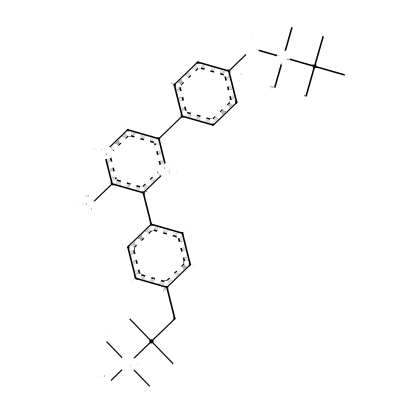 CC(C)(Cc1ccc(-c2nc(-c3ccc(O[Si](C)(C)C(C)(C)C)cc3)cnc2N)cc1)[Si](C)(C)O